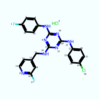 Cl.Fc1ccc(Nc2nc(NCc3ccnc(F)c3)nc(Nc3ccc(Cl)cc3)n2)cc1